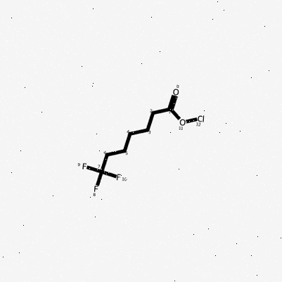 O=C(CCCCCC(F)(F)F)OCl